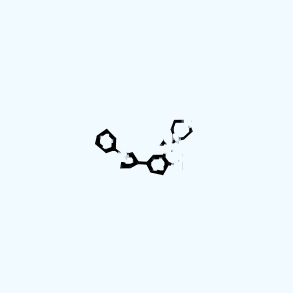 Cc1ccc(-c2ccn(-c3ccccc3)c2)cc1S(=O)(=O)N1CCOCC1